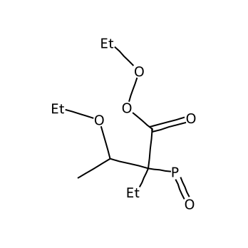 CCOOC(=O)C(CC)(P=O)C(C)OCC